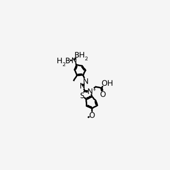 BN(B)c1ccc(/N=N/c2sc3cc(OC)ccc3[n+]2CC(=O)O)c(C)c1